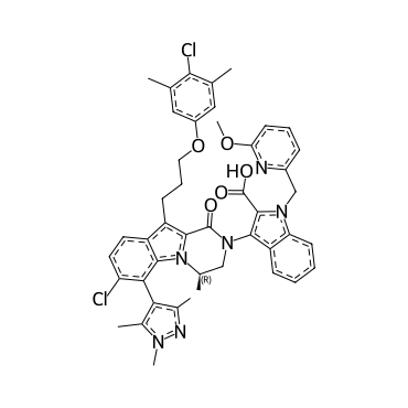 COc1cccc(Cn2c(C(=O)O)c(N3C[C@@H](C)n4c(c(CCCOc5cc(C)c(Cl)c(C)c5)c5ccc(Cl)c(-c6c(C)nn(C)c6C)c54)C3=O)c3ccccc32)n1